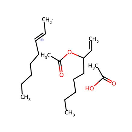 C=CC(CCCCC)OC(C)=O.CC(=O)O.[CH2]/C=C/CCCCC